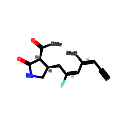 C#C/C=C(\C=C(\F)C[C@H]1CNC(=O)[C@H]1C(=O)OC)OC